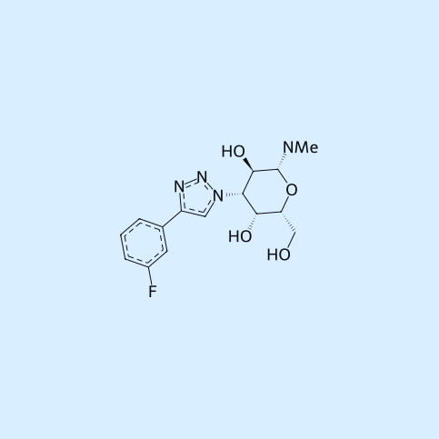 CN[C@@H]1O[C@H](CO)[C@H](O)[C@H](n2cc(-c3cccc(F)c3)nn2)[C@H]1O